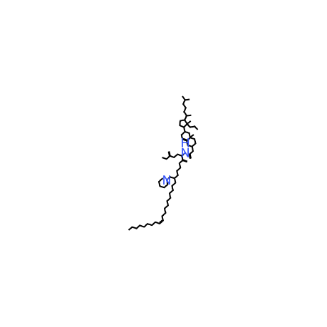 C=C(CC)CCC(NC(=C)CC1CCC2(C)CC(C3CCC(C(C)CCCC(C)C)C3(C)CCC)CC=C2C1)C(=C)CCCCC(CCCCCCCCCC/C=C\CCCCCCCC)CN1CCCCC1